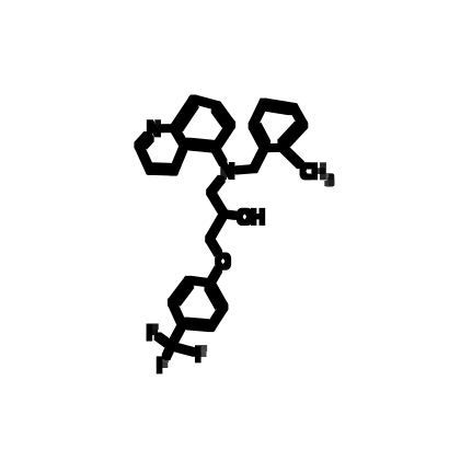 Cc1ccccc1CN(CC(O)COc1ccc(C(F)(F)F)cc1)c1cccc2ncccc12